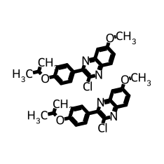 COc1ccc2nc(Cl)c(-c3ccc(OC(C)C)cc3)nc2c1.COc1ccc2nc(Cl)c(-c3ccc(OC(C)C)cc3)nc2c1